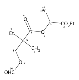 CCOC(=O)C(OC(=O)C(C)(CC)COC=O)C(C)C